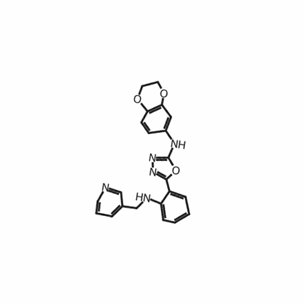 c1cncc(CNc2ccccc2-c2nnc(Nc3ccc4c(c3)OCCO4)o2)c1